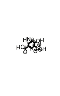 O=C(O)c1ccc(O)c(S(=O)(=O)O)c1.[NaH]